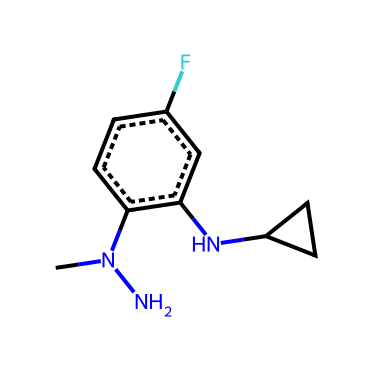 CN(N)c1ccc(F)cc1NC1CC1